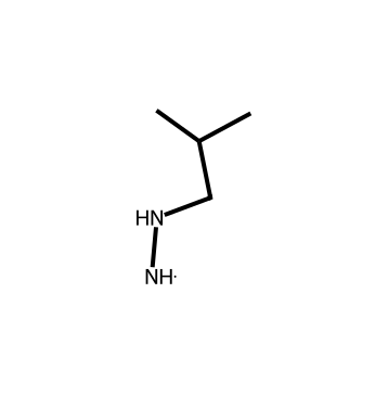 CC(C)CN[NH]